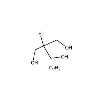 CCC(CO)(CO)CO.[CaH2]